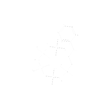 C[Si](C)(C)O[Si](C)(C)O[Si](C)(C)O[Si](C)(C)O[Si](C)(C)CCCc1cc[c]cc1